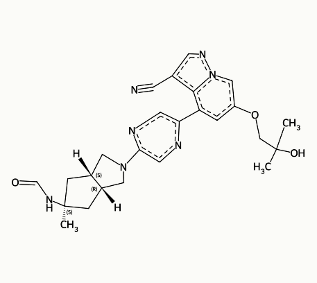 CC(C)(O)COc1cc(-c2cnc(N3C[C@@H]4C[C@@](C)(NC=O)C[C@@H]4C3)cn2)c2c(C#N)cnn2c1